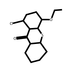 CCOC1CCC(Cl)C2C(=O)C3CCCCC3SC12